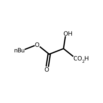 CCCCOC(=O)C(O)C(=O)O